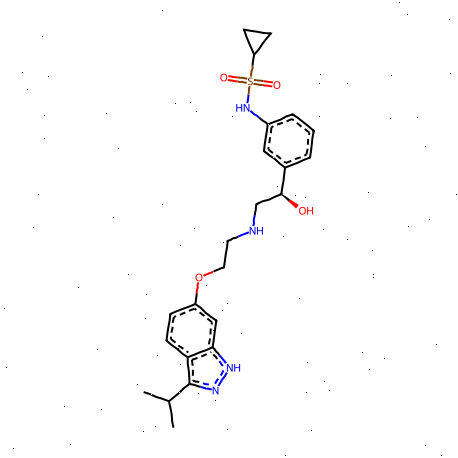 CC(C)c1n[nH]c2cc(OCCNC[C@H](O)c3cccc(NS(=O)(=O)C4CC4)c3)ccc12